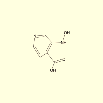 O=C(O)c1ccncc1NO